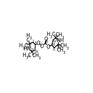 CC1(C)CC(OOC(=O)OC2CC(C)(C)NC(C)(C)C2)CC(C)(C)N1